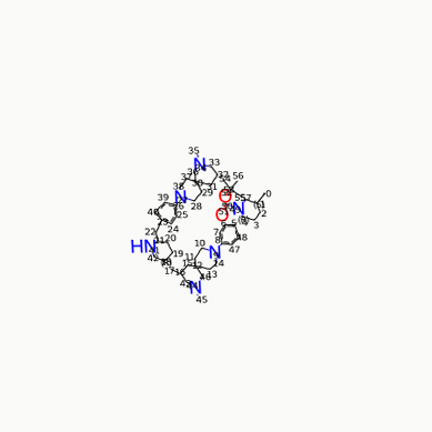 C[C@H]1CC[C@H](c2ccc(N3CCC4(CC3)CC(C[C@H]3CCC(Cc5ccc(N6CCC7(CCCN(C)C7)CC6)cc5)NC3)CN(C)C4)cc2)N(C(=O)OC(C)(C)C)C1